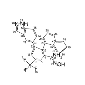 N/C(=N\O)c1cc(C(F)(F)F)cc(-c2ccc3[nH]ncc3c2)c1-c1cccc2ccccc12